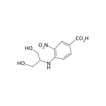 O=C(O)c1ccc(NC(CO)CO)c([N+](=O)[O-])c1